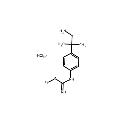 CCSC(=N)Nc1ccc(C(C)(C)CN)cc1.Cl.Cl